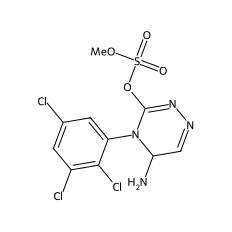 COS(=O)(=O)OC1=NN=CC(N)N1c1cc(Cl)cc(Cl)c1Cl